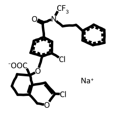 O=C(c1ccc(OC2(C(=O)[O-])CCCC3=C2C=C(Cl)OC3)c(Cl)c1)N(CCc1ccccc1)C(F)(F)F.[Na+]